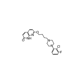 O=c1ccc2ccc(OCCCCN3CCN(c4cccc(F)c4Cl)CC3)nc2[nH]1